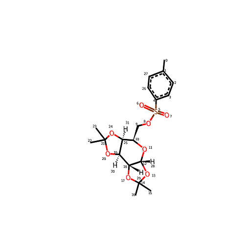 Cc1ccc(S(=O)(=O)OC[C@H]2O[C@@H]3OC(C)(C)O[C@@H]3[C@H]3OC(C)(C)O[C@H]32)cc1